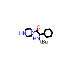 CC(C)(C)N[C@H](C(=O)N1CCNCC1)C1CCCCC1